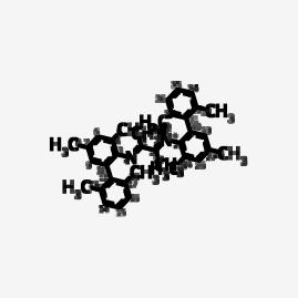 CC(=Nc1c(C)cc(C)cc1-c1c(C)cccc1C)C(C)=[N+]([Pd])c1c(C)cc(C)cc1-c1c(C)cccc1C